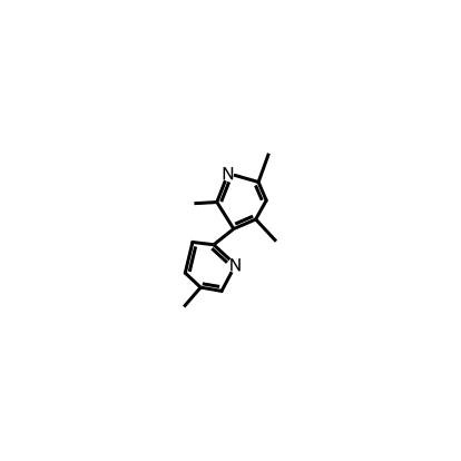 Cc1ccc(-c2c(C)cc(C)nc2C)nc1